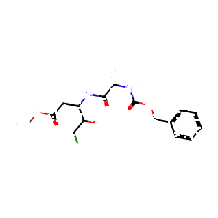 CC(C)[C@H](NC(=O)OCc1ccccc1)C(=O)NC(CC(=O)OC(C)(C)C)C(O)CF